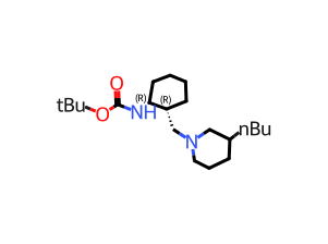 CCCCC1CCCN(C[C@H]2CCCC[C@H]2NC(=O)OC(C)(C)C)C1